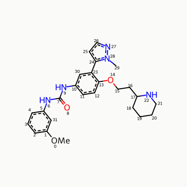 COc1cccc(NC(=O)Nc2ccc(OCCC3CCCCN3)c(-c3ccnn3C)c2)c1